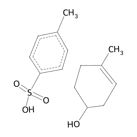 CC1=CCC(O)CC1.Cc1ccc(S(=O)(=O)O)cc1